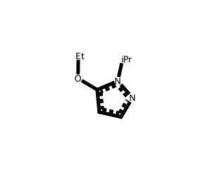 CCOc1ccnn1C(C)C